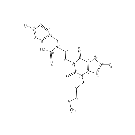 CCCCCn1c(=O)n(CCN(Cc2ccc(C)cc2)C(=O)O)c(=O)c2[nH]c(Cl)nc21